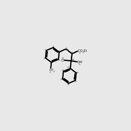 CCOC(=O)C(Cc1cccc(C(F)(F)F)c1)C(O)(Cl)c1ccccc1